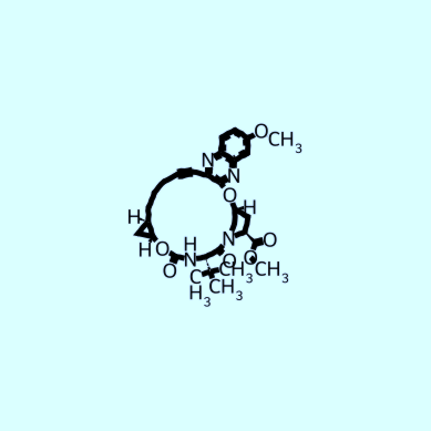 COC(=O)[C@@H]1C[C@@H]2CN1C(=O)[C@H](C(C)(C)C)NC(=O)O[C@@H]1C[C@H]1CCCC#Cc1nc3ccc(OC)cc3nc1O2